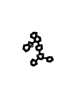 c1ccc(-c2cc(-c3ccccc3)nc(-c3ccc(-c4ccc5ccccc5c4-c4nc5ccccc5o4)cc3)n2)cc1